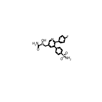 NC(=O)N(O)Cc1cnc(-c2ccc(F)cc2)c(-c2ccc(S(N)(=O)=O)cc2)c1